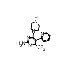 Nc1nc(N2CCNCC2)c(-c2ccccn2)c(C(F)(F)F)n1